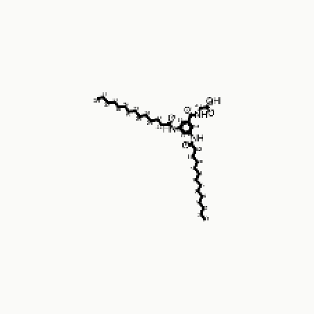 CCCCCCCCCCCCCC(=O)Nc1cc(NC(=O)CCCCCCCCCCCCC)cc(C(=O)NCC(=O)O)c1